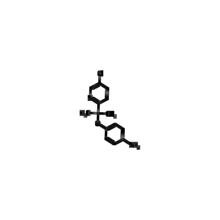 CC(C)(Oc1ccc(N)cc1)c1ccc(Cl)cn1